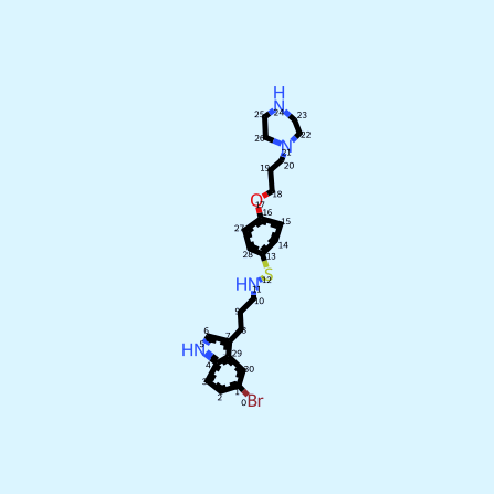 Brc1ccc2[nH]cc(CCCNSc3ccc(OCCCN4CCNCC4)cc3)c2c1